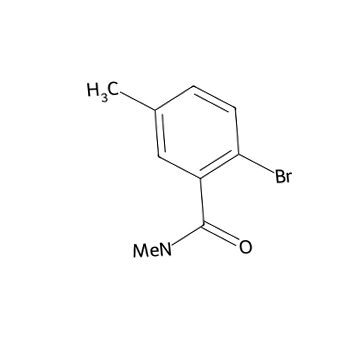 CNC(=O)c1cc(C)ccc1Br